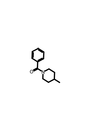 CC1CCN(C(=O)c2cc[c]cc2)CC1